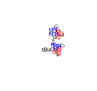 CC(C)(C)c1ccc(N(C(=O)C(=O)c2ccco2)C(C(=O)NC2CCCCC2)c2ccc(CC(C)(C)c3ccc(N(C(=O)C(=O)c4ccco4)C(C(=O)NC4CCCCC4)c4cccnc4)cc3)nc2)cc1